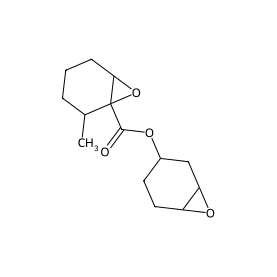 CC1CCCC2OC12C(=O)OC1CCC2OC2C1